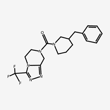 O=C(N1CCn2c(nnc2C(F)(F)F)C1)N1CCCC(Cc2ccccc2)C1